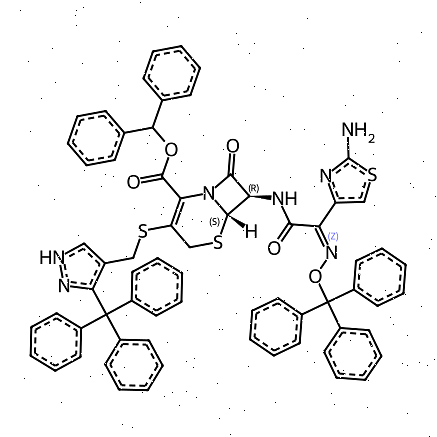 Nc1nc(/C(=N/OC(c2ccccc2)(c2ccccc2)c2ccccc2)C(=O)N[C@@H]2C(=O)N3C(C(=O)OC(c4ccccc4)c4ccccc4)=C(SCc4c[nH]nc4C(c4ccccc4)(c4ccccc4)c4ccccc4)CS[C@@H]23)cs1